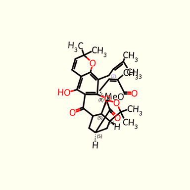 COC(=O)/C(C)=C\C[C@@]12OC(C)(C)[C@@H]3C[C@@H](CC4C(=O)c5c(O)c6c(c(CC=C(C)C)c5O[C@]431)OC(C)(C)C=C6)C2=O